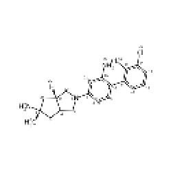 C[C@]1(N)CC2CN(c3ncc(-c4cccc(Cl)c4Cl)c(N)n3)C[C@H]2C1